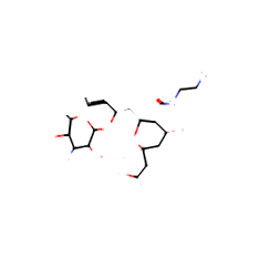 CC(C)/C=C/[C@@H](C[C@@H]1O[C@](O)(C[C@@H](O)C(C)C)C[C@H](O)[C@H]1C(=O)NCCN)OC1OC(C)C(O)C(N)C1O